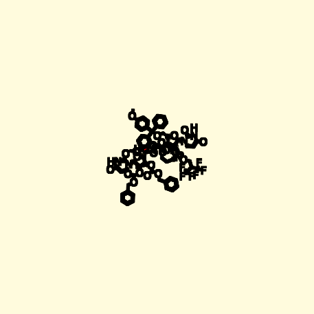 COc1ccc(C(OC[C@H]2O[C@@H](n3ccc(=O)[nH]c3=O)[C@H](OCOCC(C(F)(F)F)C(F)(F)F)[C@@]2(O)OP(=O)(OCCC#N)OC(O)[C@H]2O[C@@H](n3ccc(=O)[nH]c3=O)[C@H](OC(=O)OCc3ccccc3)[C@@H]2OC(=O)OCc2ccccc2)(c2ccccc2)c2ccc(OC)cc2)cc1